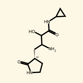 NC(C[C@@H]1CCNC1=O)C(O)C(=O)NC1CC1